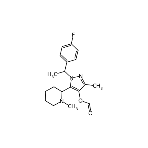 Cc1nn(C(C)c2ccc(F)cc2)c(C2CCCCN2C)c1OC=O